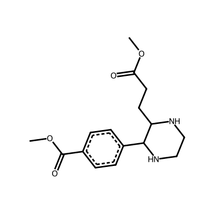 COC(=O)CCC1NCCNC1c1ccc(C(=O)OC)cc1